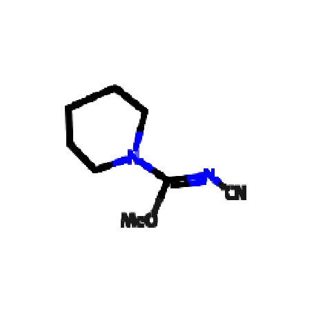 COC(=NC#N)N1CCCCC1